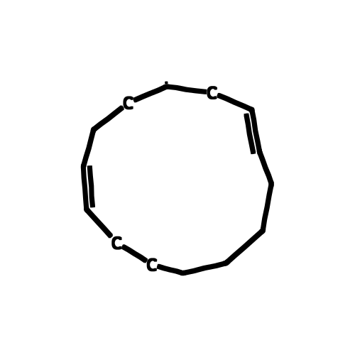 [CH]1CC=CCCCCCCC=CCC1